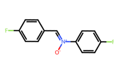 [O-][N+](=Cc1ccc(F)cc1)c1ccc(F)cc1